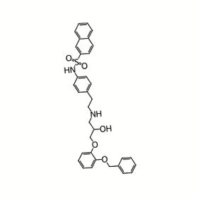 O=S(=O)(Nc1ccc(CCNCC(O)COc2ccccc2OCc2ccccc2)cc1)c1ccc2ccccc2c1